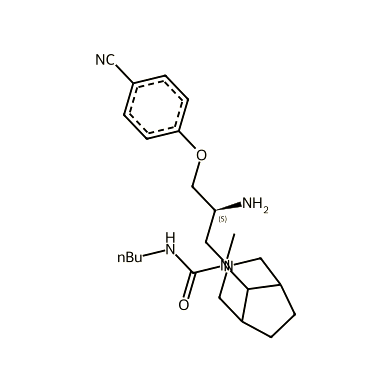 CCCCNC(=O)N(C)C1C2CCC1CN(C[C@H](N)COc1ccc(C#N)cc1)C2